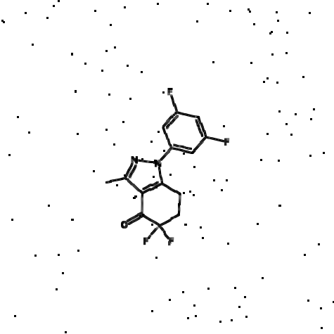 Cc1nn(-c2cc(F)cc(F)c2)c2c1C(=O)C(F)(F)CC2